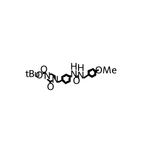 COc1ccc(CNC(=O)Nc2ccc(CN3CCN(C(=O)OC(C)(C)C)CC3=O)cc2)cc1